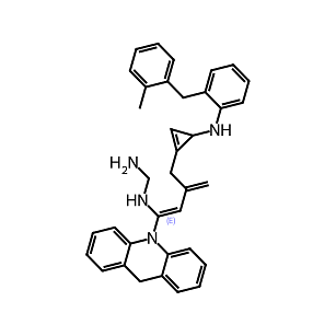 C=C(/C=C(\NCN)N1c2ccccc2Cc2ccccc21)CC1=CC1Nc1ccccc1Cc1ccccc1C